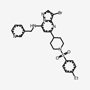 CCc1ccc(S(=O)(=O)N2CCC(c3cc(NCc4cccnc4)n4ncc(Br)c4n3)CC2)cc1